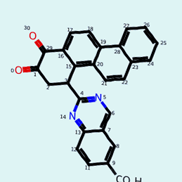 O=C1CC(c2ncc3cc(C(=O)O)ccc3n2)c2c(ccc3c2ccc2ccccc23)C1=O